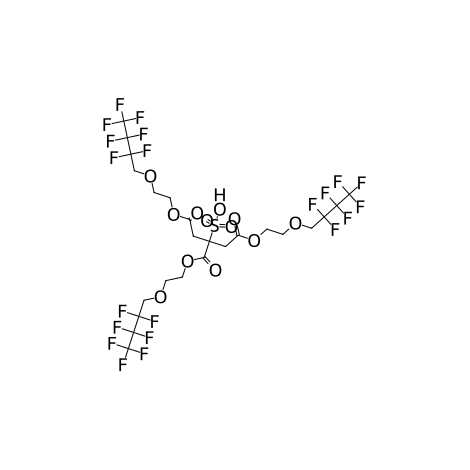 O=C(CC(CC(=O)OCCOCC(F)(F)C(F)(F)C(F)(F)F)(C(=O)OCCOCC(F)(F)C(F)(F)C(F)(F)F)S(=O)(=O)O)OCCOCC(F)(F)C(F)(F)C(F)(F)F